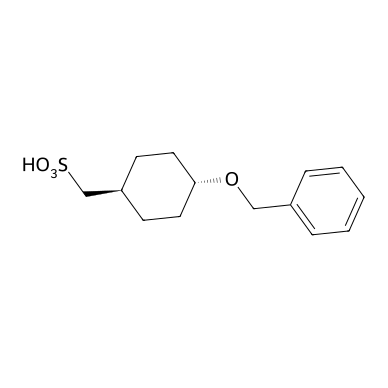 O=S(=O)(O)C[C@H]1CC[C@H](OCc2ccccc2)CC1